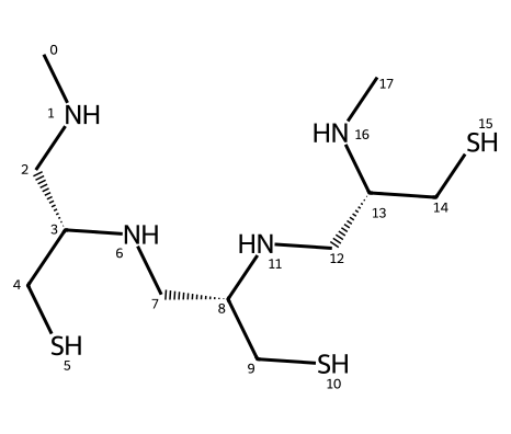 CNC[C@@H](CS)NC[C@@H](CS)NC[C@@H](CS)NC